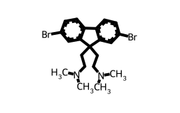 CN(C)CCC1(CCN(C)C)c2cc(Br)ccc2-c2ccc(Br)cc21